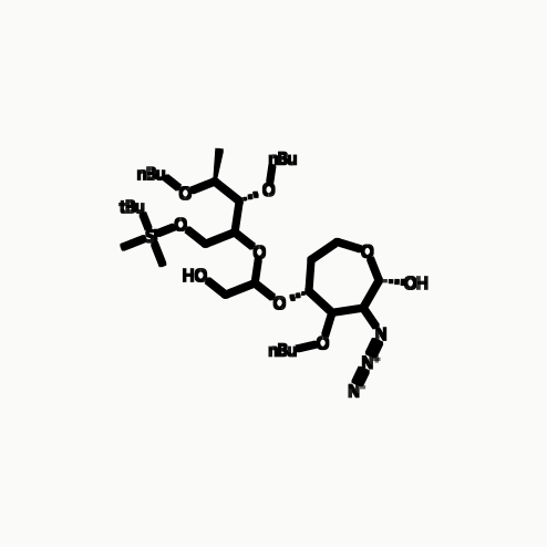 CCCCOC1C(N=[N+]=[N-])[C@@H](O)OCC[C@H]1OC(CO)OC(CO[Si](C)(C)C(C)(C)C)[C@@H](OCCCC)[C@H](C)OCCCC